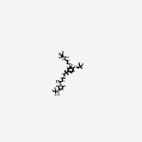 CC(C)(C)COc1ccc(C(C)(C)COCCC(=O)N2CC[C@@H](NC(C)(C)C)C2)cc1OCCCNC(C)(C)C